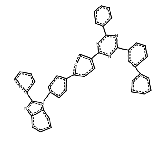 c1ccc(-c2cccc(-c3nc(-c4ccccc4)nc(-c4ccc(-c5ccc(-n6c(-c7ccccn7)nc7ccccc76)cc5)cc4)n3)c2)cc1